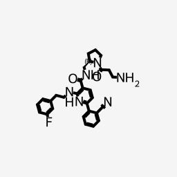 N#Cc1ccccc1-c1ccc(C(=O)NC[C@H]2CCCN2C(=O)CCN)c(NCCc2cccc(F)c2)n1